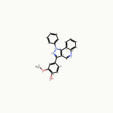 COc1cc(-c2nn(-c3ccccc3)c3c2cnc2ccccc23)ccc1O